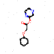 O=C(COc1ccccc1)Oc1cnccn1